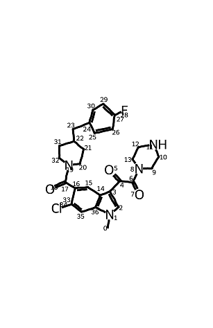 Cn1cc(C(=O)C(=O)N2CCNCC2)c2cc(C(=O)N3CCC(Cc4ccc(F)cc4)CC3)c(Cl)cc21